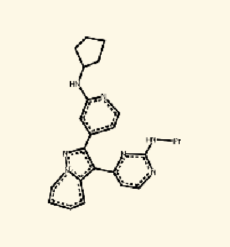 CC(C)Nc1nccc(-c2c(-c3ccnc(NC4CCCC4)c3)nn3ccccc23)n1